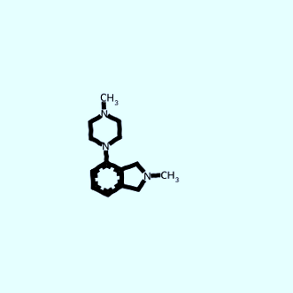 CN1CCN(c2cccc3c2CN(C)C3)CC1